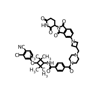 CC1(C)C(NC(=O)c2ccc(C(=O)N3CCN(CC4CN(c5ccc6c(c5)C(=O)N(C5CCC(=O)NC5=O)C6=O)C4)CC3)cc2)C(C)(C)C1Oc1ccc(C#N)c(Cl)c1